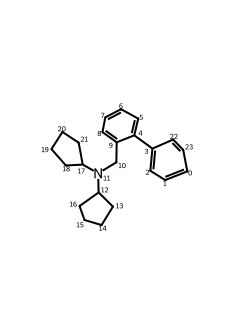 c1ccc(-c2ccccc2CN(C2CCCC2)C2CCCC2)cc1